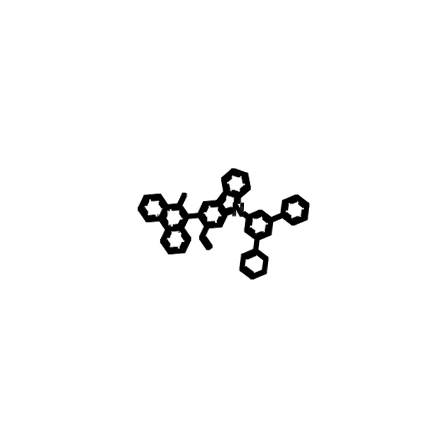 C=Cc1cc2c(cc1-c1c(C)c3ccccc3c3ccccc13)c1ccccc1n2-c1cc(C2=CC=CCC2)cc(-c2ccccc2)c1